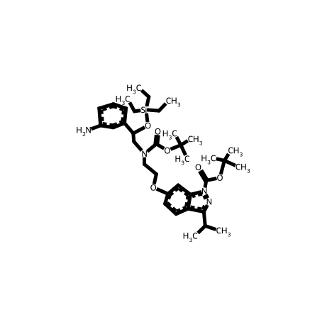 CC[Si](CC)(CC)OC(CN(CCOc1ccc2c(C(C)C)nn(C(=O)OC(C)(C)C)c2c1)C(=O)OC(C)(C)C)c1cccc(N)c1